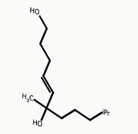 CC(C)CCCC(C)(O)C=CCCCO